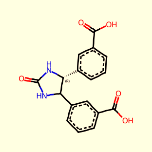 O=C1NC(c2cccc(C(=O)O)c2)[C@@H](c2cccc(C(=O)O)c2)N1